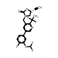 C#C[C@@H]1CN(Cc2cc(-c3ccc(F)c(OC(F)F)c3)cnc2C(C)(F)F)C(=O)O1